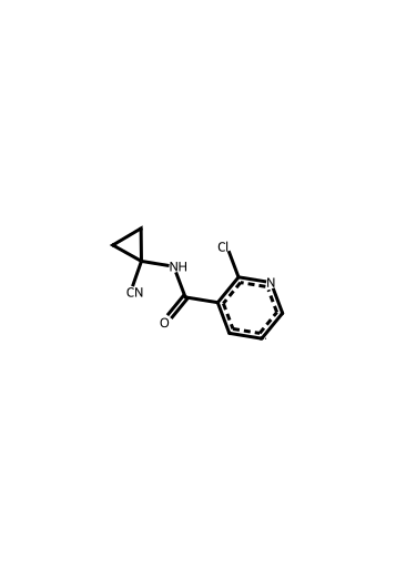 N#CC1(NC(=O)c2c[c]cnc2Cl)CC1